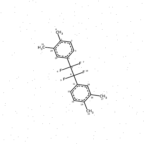 Cc1ccc(C(F)(F)C(F)(F)c2ccc(C)c(C)c2)cc1C